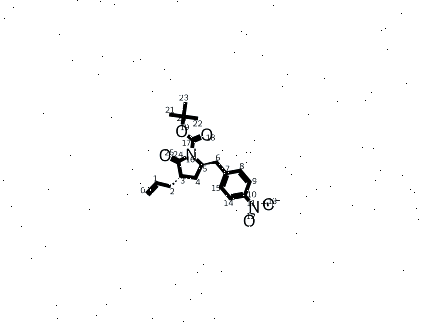 C=CC[C@H]1C[C@H](Cc2ccc([N+](=O)[O-])cc2)N(C(=O)OC(C)(C)C)C1=O